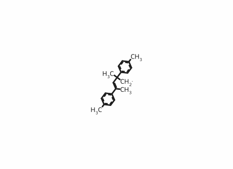 [CH2]C(C)(C=C(C)c1ccc(C)cc1)c1ccc(C)cc1